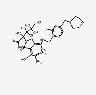 BC(=C)/C(O)=C1/C(=O)N(C(O)(C(=O)NC)C(O)(O)C(O)(O)C=O)C/C1=C(/O)NCc1ccc(CN2CCOCC2)cc1F